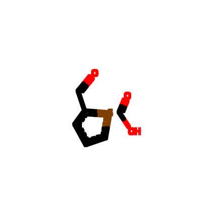 O=CO.O=Cc1cccs1